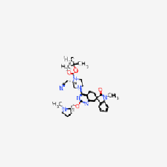 CN1C(=O)C2(CCc3c(nc(OC[C@@H]4CCCN4C)nc3N3CCN(C(=O)OC(C)(C)C)[C@@H](CC#N)C3)C2)c2ccccc21